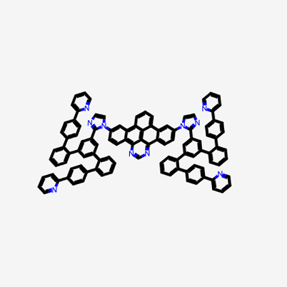 c1ccc(-c2ccc(-c3ccccc3-c3cc(-c4ccccc4-c4ccc(-c5ccccn5)cc4)cc(-c4nccn4-c4ccc5c(c4)c4cccc6c7cc(-n8ccnc8-c8cc(-c9ccccc9-c9ccc(-c%10ccccn%10)cc9)cc(-c9ccccc9-c9ccc(-c%10ccccn%10)cc9)c8)ccc7c7ncnc5c7c46)c3)cc2)nc1